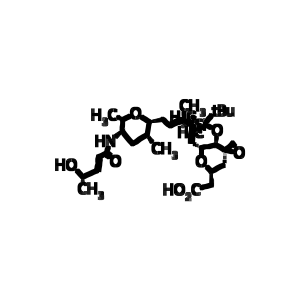 CC(C=C[C@H]1O[C@H](CC(=O)O)C[C@@]2(CO2)[C@@H]1O[Si](C)(C)C(C)(C)C)=CC[C@@H]1O[C@H](C)[C@H](NC(=O)C=C[C@H](C)O)C[C@@H]1C